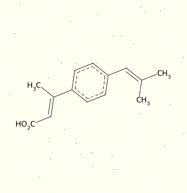 CC(C)=Cc1ccc(C(C)=CC(=O)O)cc1